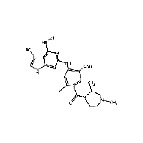 CCNc1nc(Nc2cc(F)c(C(=O)N3CCN(C)CC3C)cc2OC)nc2[nH]cc(C#N)c12